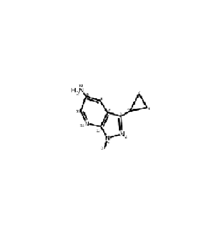 Cn1nc(C2CC2)c2cc(N)cnc21